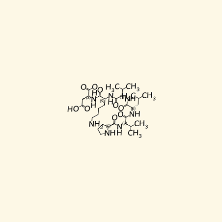 CC(C)C[C@H](NC(=O)[C@@H](NC(=O)[C@@H]1CCCN1)C(C)C)C(=O)N[C@H](C(=O)N[C@@H](CCCCN)C(=O)N[C@@H](CC(=O)O)C(=O)O)C(C)C